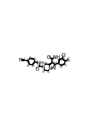 N#Cc1ccc(NC(=O)N2CCn3nc(-c4ccc(F)c(Cl)c4)c(C(N)=O)c3C2)cc1